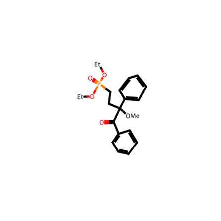 CCOP(=O)(CCC(OC)(C(=O)c1ccccc1)c1ccccc1)OCC